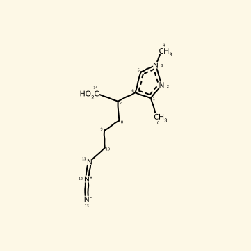 Cc1nn(C)cc1C(CCCN=[N+]=[N-])C(=O)O